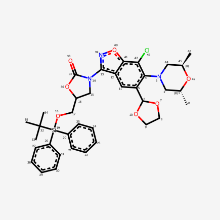 C[C@@H]1CN(c2c(C3OCCO3)cc3c(N4CC(CO[Si](c5ccccc5)(c5ccccc5)C(C)(C)C)OC4=O)noc3c2Cl)C[C@@H](C)O1